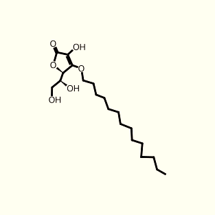 CCCCCCCCCCCCCCOC1=C(O)C(=O)O[C@@H]1[C@@H](O)CO